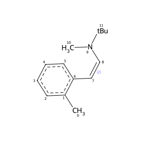 Cc1ccccc1/C=C\N(C)C(C)(C)C